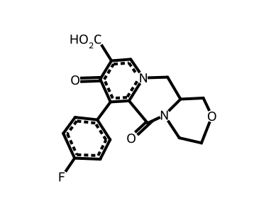 O=C(O)c1cn2c(c(-c3ccc(F)cc3)c1=O)C(=O)N1CCOCC1C2